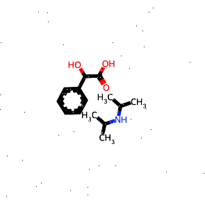 CC(C)NC(C)C.O=C(O)C(O)c1ccccc1